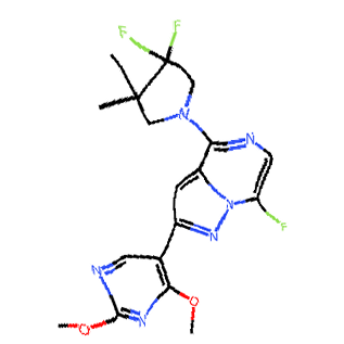 COc1ncc(-c2cc3c(N4CC(C)(C)C(F)(F)C4)ncc(F)n3n2)c(OC)n1